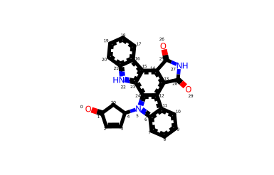 O=C1C=CC(n2c3ccccc3c3c4c(c5c6ccccc6[nH]c5c32)C(=O)NC4=O)C1